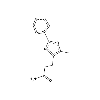 Cc1oc(-c2ccccc2)nc1CCC(N)=O